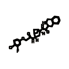 O=C(COc1ccc(Cl)c(F)c1)N[C@@H]1C[C@H](NC(=O)C2Cc3ccccc3CN2)C2CC1C2